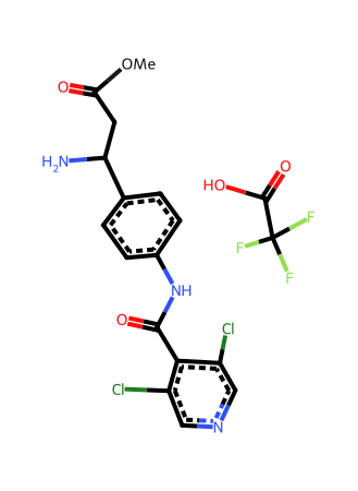 COC(=O)CC(N)c1ccc(NC(=O)c2c(Cl)cncc2Cl)cc1.O=C(O)C(F)(F)F